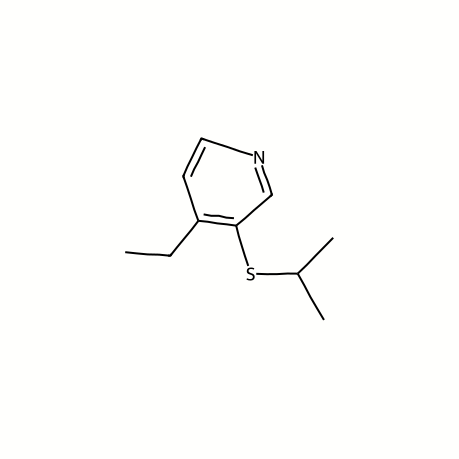 CCc1ccncc1SC(C)C